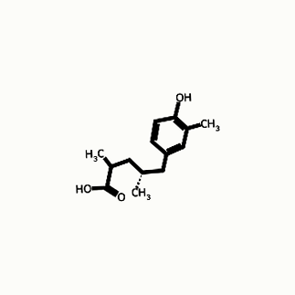 Cc1cc(C[C@H](C)CC(C)C(=O)O)ccc1O